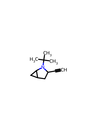 C#CC1CC2CC2N1C(C)(C)C